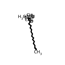 CC=CCCCCCCCCCCCCCCC(CCC)(P(=O)=O)[N+](C)(C)C